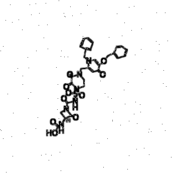 O=C(O)N[C@H]1CN(C(=O)NS(=O)(=O)N2CCN(Cc3cc(=O)c(OCc4ccccc4)cn3Cc3ccccc3)C(=O)C2=O)C1=O